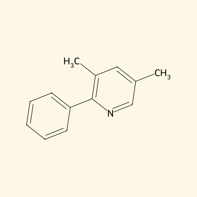 Cc1cnc(-c2ccccc2)c(C)c1